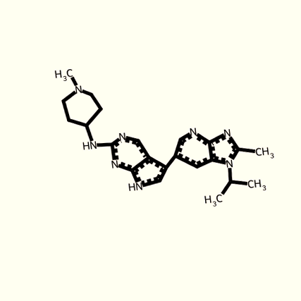 Cc1nc2ncc(-c3c[nH]c4nc(NC5CCN(C)CC5)ncc34)cc2n1C(C)C